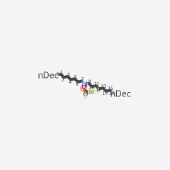 CCCCCCCCCCCCCCCCCN(CCCCCCCCCCCCCCCCC)OC(=S)S